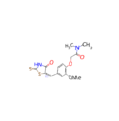 COc1cc(/C=C2/SC(=S)NC2=O)ccc1OCC(=O)N(C)C